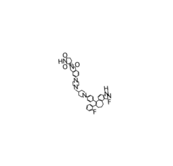 O=C1CC[C@H](N2Cc3cc(N4CCN(CC5CCN(c6ccc(C7=C(c8ccccc8F)CCCc8c7ccc7[nH]nc(F)c87)cc6)CC5)CC4)ccc3C2=O)C(=O)N1